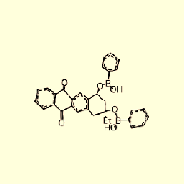 CC[C@]1(OB(O)c2ccccc2)Cc2cc3c(cc2[C@@H](OB(O)c2ccccc2)C1)C(=O)c1ccccc1C3=O